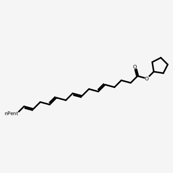 CCCCCC=CCC=CCC=CCC=CCCCC(=O)OC1CCCC1